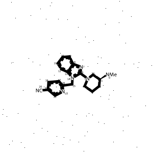 CN[C@H]1CCCN(c2nc3ccccc3n2Cc2ccc(C#N)cn2)C1